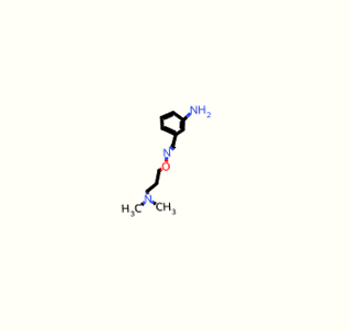 CN(C)CCCON=Cc1cccc(N)c1